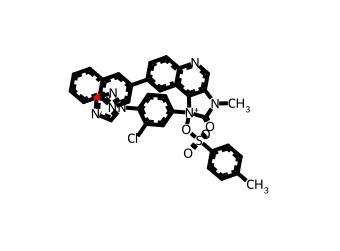 Cc1ccc(S(=O)(=O)O[N+]2(c3ccc(-n4cncn4)c(Cl)c3)C(=O)N(C)c3cnc4ccc(-c5cnc6ccccc6c5)cc4c32)cc1